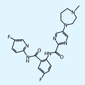 CN1CCCN(c2cnc(C(=O)Nc3ccc(F)cc3C(=O)Nc3ccc(F)cn3)nc2)CC1